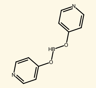 B(Oc1ccncc1)Oc1ccncc1